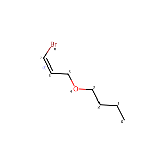 CCCCOC/C=C\Br